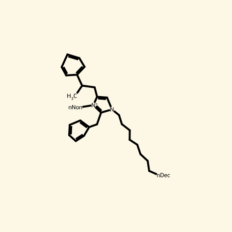 CCCCCCCCCCCCCCCCCCn1cc(CC(C)c2ccccc2)[n+](CCCCCCCCC)c1Cc1ccccc1